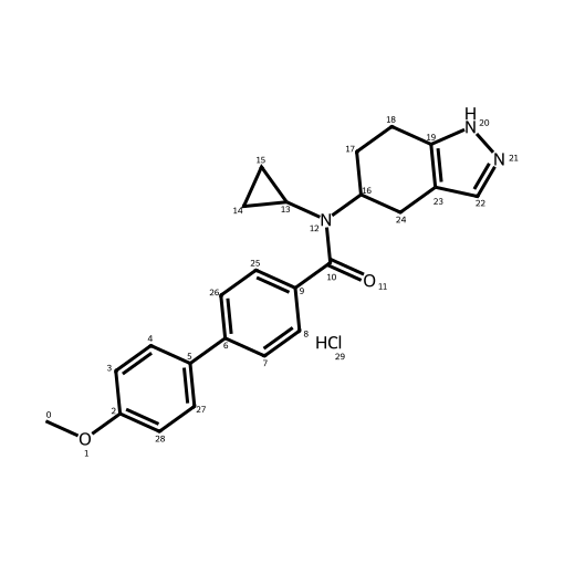 COc1ccc(-c2ccc(C(=O)N(C3CC3)C3CCc4[nH]ncc4C3)cc2)cc1.Cl